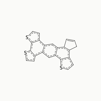 C1=Cc2c(c3ccsc3c3cc4c(cc23)c2ccsc2c2sccc42)C1